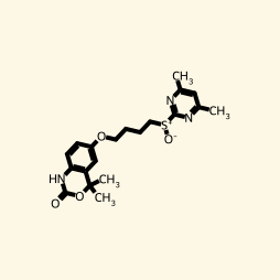 Cc1cc(C)nc([S+]([O-])CCCCOc2ccc3c(c2)C(C)(C)OC(=O)N3)n1